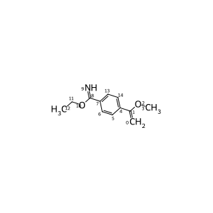 C=C(OC)c1ccc(C(=N)OCC)cc1